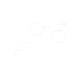 C=CCOC[C@@H]1CCCN(CC2CCCCC2N)C1